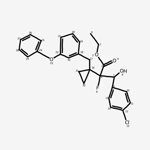 CCOC(=O)C(F)(C(O)c1ccc(Cl)cc1)C1(Cc2cccc(Oc3ccccc3)c2)CC1